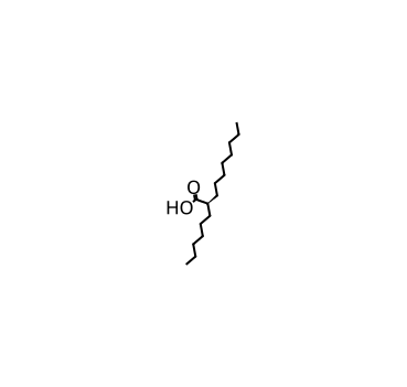 CCCCCCCC[C@@H](CCCCCC)C(=O)O